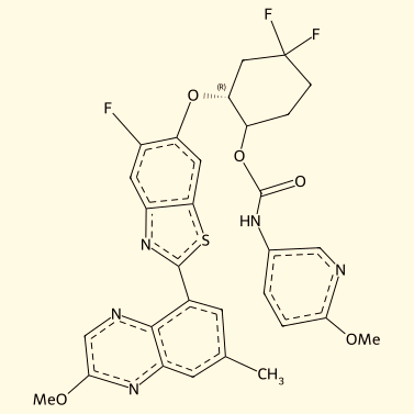 COc1ccc(NC(=O)OC2CCC(F)(F)C[C@H]2Oc2cc3sc(-c4cc(C)cc5nc(OC)cnc45)nc3cc2F)cn1